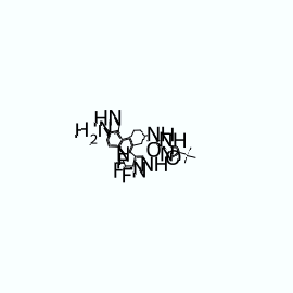 CC(C)(C)c1cc(NC(=O)NC2CCc3c(c(-c4c[nH]nc4C(F)(F)F)nc4ccc(N)c(C=N)c34)C2)no1